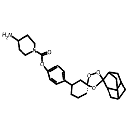 NC1CCN(C(=O)Oc2ccc(C3CCC[C@]4(C3)OOC3(O4)C4CC5CC(C4)CC3C5)cc2)CC1